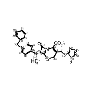 Cn1nnnc1SCC1=C(C(=O)O)N2C(=O)[C@@H](Nc3cc[n+](Cc4ccccc4)cc3)C2SC1.[OH-]